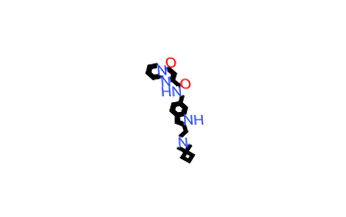 O=C(NCc1ccc2cc(CCN3CC4(CCC4)C3)[nH]c2c1)c1cc(=O)n2ccccc2n1